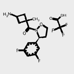 CC1(C(=O)N2OCC[C@H]2c2cc(F)cc(F)c2)CC(N)C1.O=C(O)C(F)(F)F